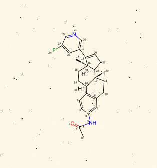 CC(=O)Nc1ccc2c(c1)CC[C@@H]1[C@@H]2CC[C@]2(C)C(c3cncc(F)c3)=CC[C@@H]12